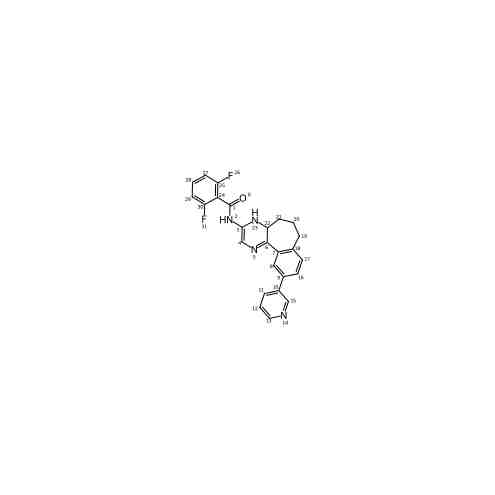 O=C(NC1=CN=C2c3cc(-c4cccnc4)ccc3CCCC2N1)c1c(F)cccc1F